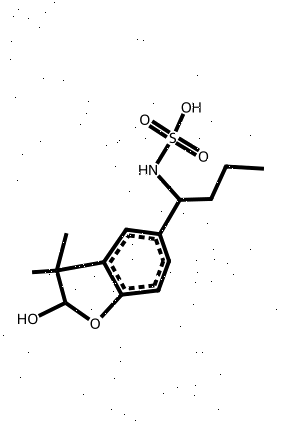 CCCC(NS(=O)(=O)O)c1ccc2c(c1)C(C)(C)C(O)O2